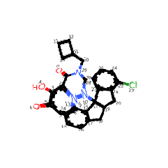 O=C1c2c(O)c(=O)ccn2N(C23c4ccccc4CC2Cc2c(Cl)cccc23)CN1CC1CCC1